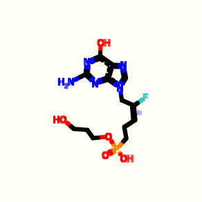 Nc1nc(O)c2ncn(C/C(F)=C\CCP(=O)(O)OCCCO)c2n1